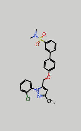 CN(C)S(=O)(=O)c1cccc(-c2ccc(OCc3cc(C(F)(F)F)nn3-c3ccccc3Cl)cc2)c1